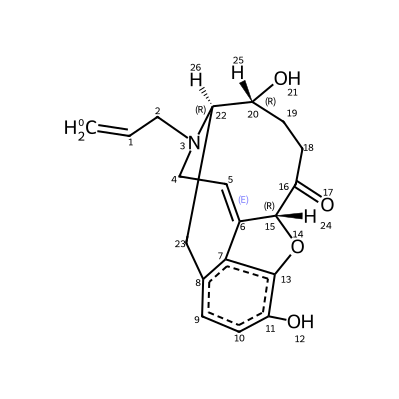 C=CCN1C/C=C2\c3c4ccc(O)c3O[C@H]2C(=O)CC[C@@H](O)[C@H]1C4